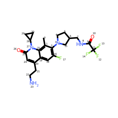 Cc1c(N2CCC(CNC(=O)C(F)(F)F)C2)c(F)cc2c(CCN)cc(=O)n(C3CC3)c12